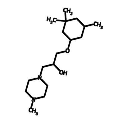 CC1CC(OCC(O)CN2CCN(C)CC2)CC(C)(C)C1